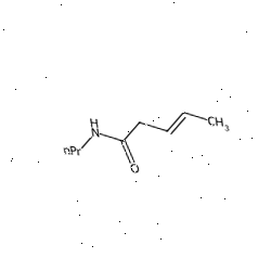 CC=CCC(=O)NCCC